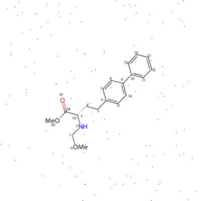 COCN[C@@H](CCc1ccc(-c2ccccc2)cc1)C(=O)OC